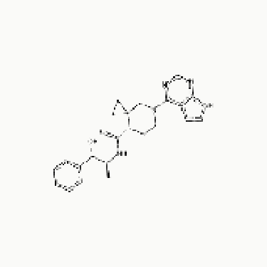 C[C@H](NC(=O)[C@H]1CCN(c2ncnc3[nH]ccc23)CC12CC2)[C@@H](O)c1ccccc1